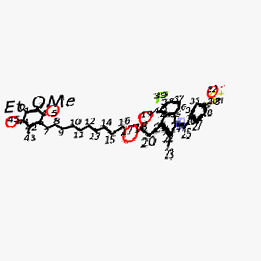 CCC1=C(OC)C(=O)C(CCCCCCCCCCOC(=O)CC2=C(C)/C(=C/c3ccc([S+](C)[O-])cc3)c3ccc(F)cc32)=C(C)C1=O